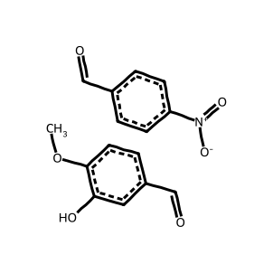 COc1ccc(C=O)cc1O.O=Cc1ccc([N+](=O)[O-])cc1